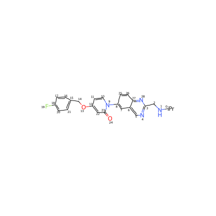 CC(C)NCc1ncc2cc(-n3ccc(OCc4ccc(F)cc4)cc3=O)ccc2n1